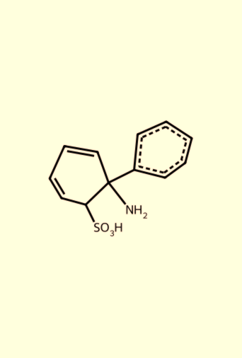 NC1(c2ccccc2)C=CC=CC1S(=O)(=O)O